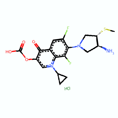 CS[C@H]1CN(c2c(F)cc3c(=O)c(OC(=O)O)cn(C4CC4)c3c2F)C[C@@H]1N.Cl